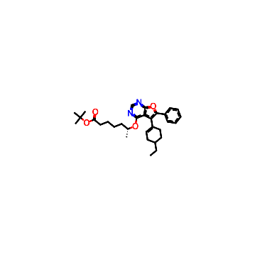 CCC1CC=C(c2c(-c3ccccc3)oc3ncnc(O[C@H](C)CCCCC(=O)OC(C)(C)C)c23)CC1